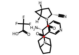 N#C[C@H]1C[C@H]2C[C@H]2N1C(=O)[C@@H](N)C1CC2CCC(C1)N2C(=O)c1cnccn1.O=C(O)C(F)(F)F